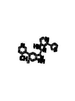 Cc1ccncc1-c1ccc2[nH]nc(-c3nc4c(-c5ccsc5)nccc4[nH]3)c2c1